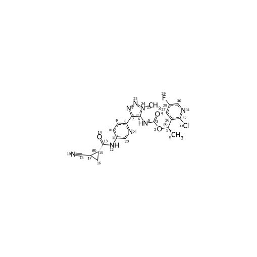 C[C@@H](OC(=O)Nc1c(-c2ccc(NC(=O)[C@@H]3CC3C#N)cn2)nnn1C)c1cc(F)cnc1Cl